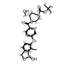 Cc1c(Oc2cnc(C(=O)N3CCN(C(=O)OC(C)(C)C)C[C@H]3CO)cn2)ccc2c1B(O)OC2